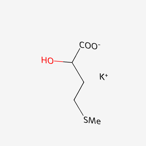 CSCCC(O)C(=O)[O-].[K+]